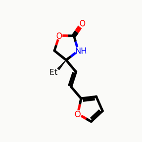 CC[C@@]1(/C=C/c2ccco2)COC(=O)N1